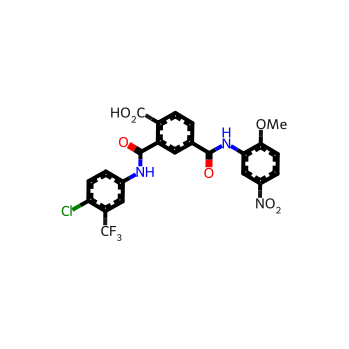 COc1ccc([N+](=O)[O-])cc1NC(=O)c1ccc(C(=O)O)c(C(=O)Nc2ccc(Cl)c(C(F)(F)F)c2)c1